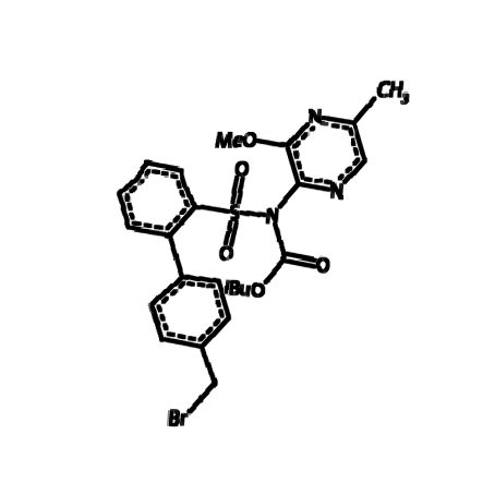 COc1nc(C)cnc1N(C(=O)OCC(C)C)S(=O)(=O)c1ccccc1-c1ccc(CBr)cc1